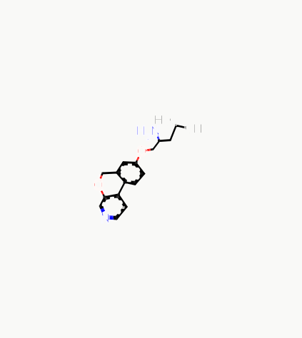 CC(C)CC(N)COc1ccc2c(c1)COc1cnccc1-2